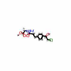 COC(=O)[C@H](C)NC(=O)CCc1ccc(C(=O)CCl)cc1